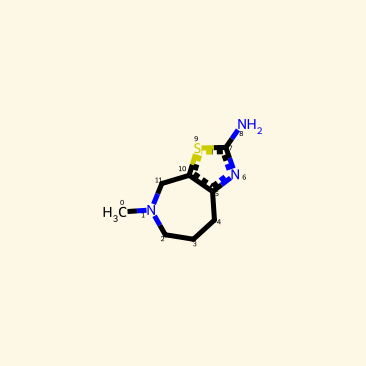 CN1CCCc2nc(N)sc2C1